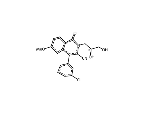 COc1ccc2c(=O)n(C[C@H](O)CO)c(C#N)c(-c3cccc(Cl)c3)c2c1